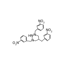 O=[N+]([O-])c1cccc(CC2CN(Cc3cccc([N+](=O)[O-])c3)NN(Cc3cccc([N+](=O)[O-])c3)C2)c1